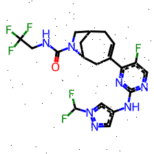 O=C(NCC(F)(F)F)N1CC2CC=C(c3nc(Nc4cnn(C(F)F)c4)ncc3F)CC1C2